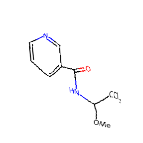 COC(NC(=O)c1cccnc1)C(Cl)(Cl)Cl